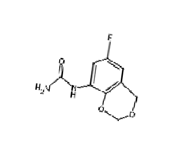 NC(=O)Nc1cc(F)cc2c1OCOC2